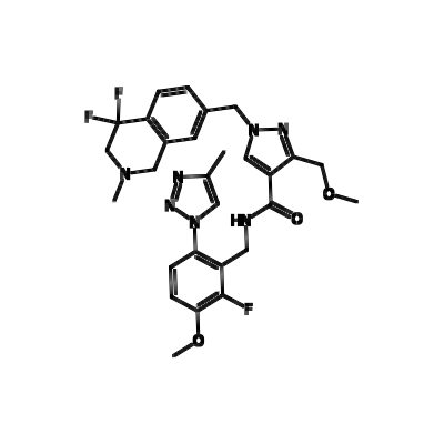 COCc1nn(Cc2ccc3c(c2)CN(C)CC3(F)F)cc1C(=O)NCc1c(-n2cc(C)nn2)ccc(OC)c1F